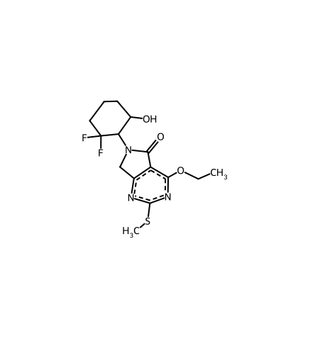 CCOc1nc(SC)nc2c1C(=O)N(C1C(O)CCCC1(F)F)C2